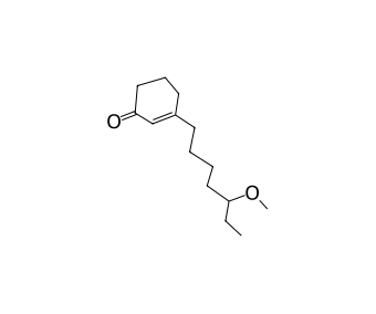 CCC(CCCCC1=CC(=O)CCC1)OC